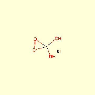 OC1(O)OO1.[KH]